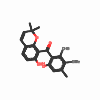 COc1c(C)cc(O)c(C(=O)c2c(O)ccc3c2OC(C)(C)C=C3)c1C=O